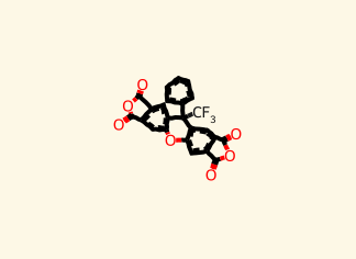 O=C1OC(=O)c2cc3c(cc21)Oc1cc2c(cc1C3(c1ccccc1)C(F)(F)F)C(=O)OC2=O